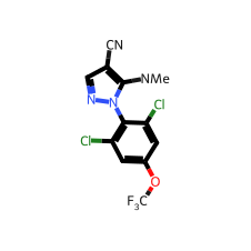 CNc1c(C#N)cnn1-c1c(Cl)cc(OC(F)(F)F)cc1Cl